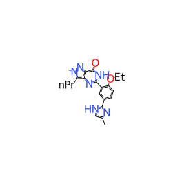 CCCc1c2nc(-c3cc(-c4nc(C)c[nH]4)ccc3OCC)[nH]c(=O)c2nn1C